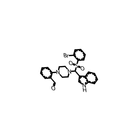 O=Cc1ccccc1N1CCN(C(c2c[nH]c3ccccc23)S(=O)(=O)c2ccccc2Br)CC1